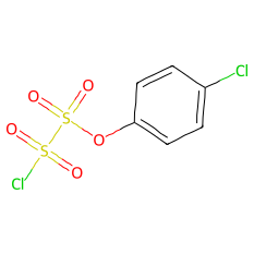 O=S(=O)(Cl)S(=O)(=O)Oc1ccc(Cl)cc1